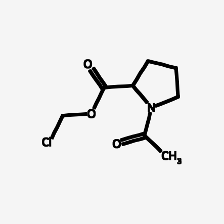 CC(=O)N1CCCC1C(=O)OCCl